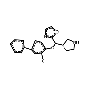 Clc1cc(-c2ccccc2)ccc1O[C@@H](c1ncco1)[C@H]1CCNC1